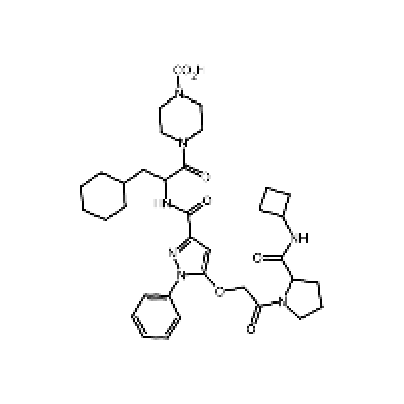 O=C(NC(CC1CCCCC1)C(=O)N1CCN(C(=O)O)CC1)c1cc(OCC(=O)N2CCCC2C(=O)NC2CCC2)n(-c2ccccc2)n1